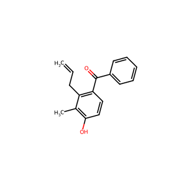 C=CCc1c(C(=O)c2ccccc2)ccc(O)c1C